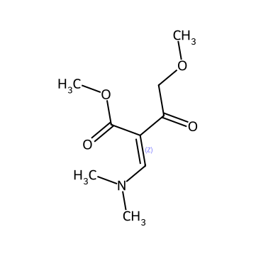 COCC(=O)/C(=C/N(C)C)C(=O)OC